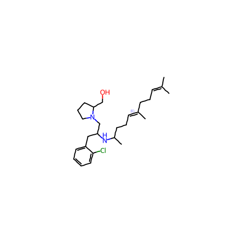 CC(C)=CCC/C(C)=C/CCC(C)NC(Cc1ccccc1Cl)CN1CCCC1CO